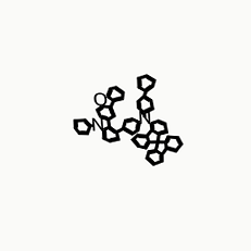 c1ccc(-c2ccc(N(c3ccc(-c4cccc5c4c4cc6c(cc4n5-c4ccccc4)oc4ccccc46)cc3)c3cccc4c3-c3ccccc3C43c4ccccc4-c4ccccc43)cc2)cc1